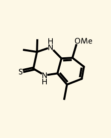 COc1ccc(C)c2c1NC(C)(C)C(=S)N2